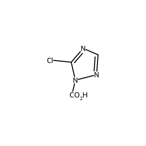 O=C(O)n1ncnc1Cl